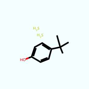 CC(C)(C)c1ccc(O)cc1.S.S